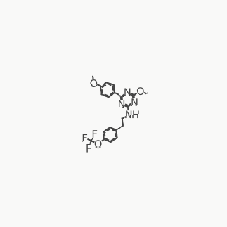 COc1ccc(-c2nc(NCCc3ccc(OC(F)(F)F)cc3)nc(OC)n2)cc1